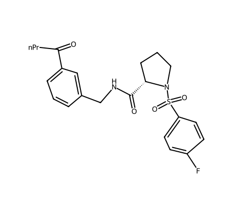 CCCC(=O)c1cccc(CNC(=O)[C@@H]2CCCN2S(=O)(=O)c2ccc(F)cc2)c1